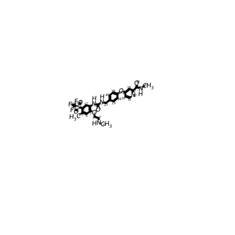 CNCCOc1cc(C)c(S(=O)(=O)C(F)(F)F)cc1NC(=O)NCc1ccc(Oc2ccnc(C(=O)NC)c2)cc1